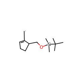 [CH2]C1=CCCC1CO[Si](C)(C)C(C)(C)C